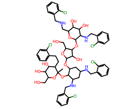 CC1(OC2C(NCc3ccccc3Cl)CC(NCc3ccccc3Cl)CC2OC2OC(CO)C(OC3OC(CNCc4ccccc4Cl)C(O)C(O)C3NCc3ccccc3Cl)C2O)OC(CO)C(O)C(O)C1CCc1ccccc1Cl